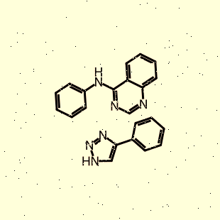 c1ccc(-c2c[nH]nn2)cc1.c1ccc(Nc2ncnc3ccccc23)cc1